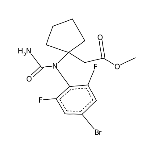 COC(=O)CC1(N(C(N)=O)c2c(F)cc(Br)cc2F)CCCC1